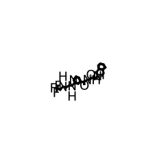 O=C(NC[C@H](O)CN1CCc2ccccc2C1)c1ccnc(NCCNCC(F)(F)F)c1